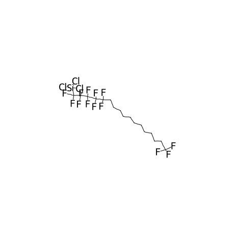 FC(F)(F)CCCCCCCCCCCC(F)(F)C(F)(F)C(F)(F)C(F)(F)C(F)(F)[Si](Cl)(Cl)Cl